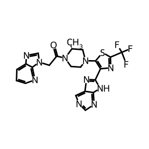 C[C@@H]1CN(c2sc(C(F)(F)F)nc2-c2nc3cncnc3[nH]2)CCN1C(=O)Cn1cnc2cccnc21